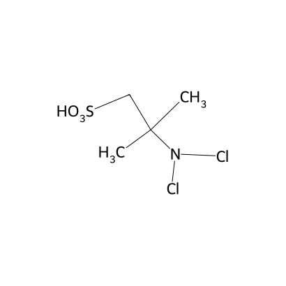 CC(C)(CS(=O)(=O)O)N(Cl)Cl